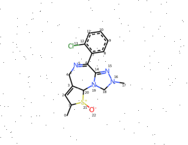 CC1C=C2CN=C(c3ccccc3Cl)C3=NN(C)CN3C2[S+]1[O-]